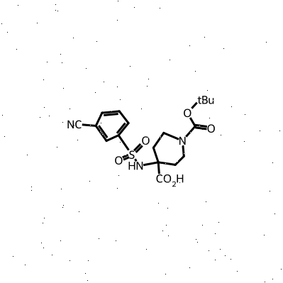 CC(C)(C)OC(=O)N1CCC(NS(=O)(=O)c2cccc(C#N)c2)(C(=O)O)CC1